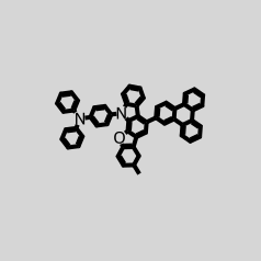 CC1C=Cc2oc3c(cc(-c4ccc5c6ccccc6c6ccccc6c5c4)c4c5ccccc5n(-c5ccc(N(c6ccccc6)c6ccccc6)cc5)c34)c2C1